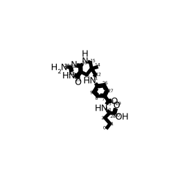 CCCC(NC(=O)c1ccc(NCC2(C)CNc3nc(N)[nH]c(=O)c3C2)cc1)C(=O)O